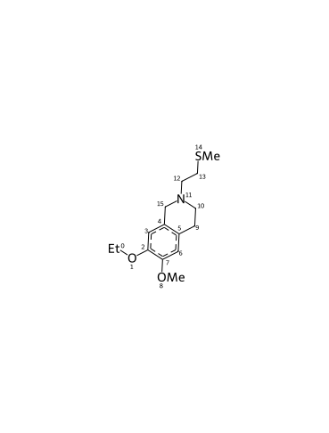 CCOc1cc2c(cc1OC)CCN(CCSC)C2